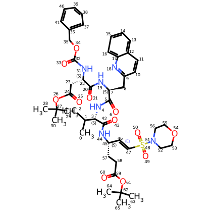 CC(C)[C@H](NC(=O)[C@H](Cc1ccc2ccccc2n1)NC(=O)[C@H](CC(=O)OC(C)(C)C)NC(=O)OCc1ccccc1)C(=O)N[C@H](/C=C/S(=O)(=O)N1CCOCC1)CCC(=O)OC(C)(C)C